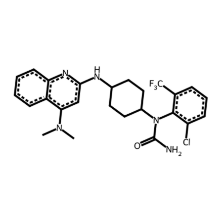 CN(C)c1cc(NC2CCC(N(C(N)=O)c3c(Cl)cccc3C(F)(F)F)CC2)nc2ccccc12